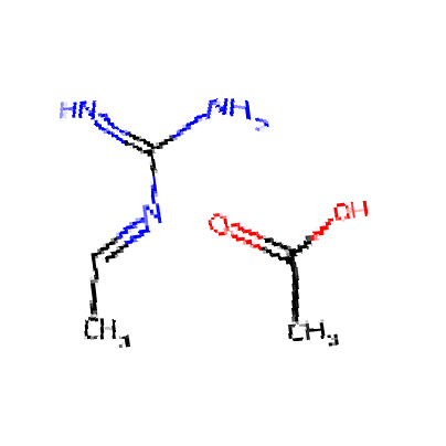 CC(=O)O.CC=NC(=N)N